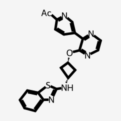 CC(=O)c1ccc(-c2nccnc2O[C@H]2C[C@@H](Nc3nc4ccccc4s3)C2)cn1